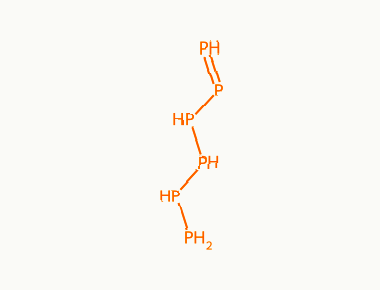 P=PPPPP